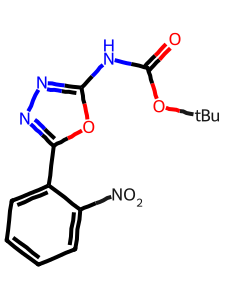 CC(C)(C)OC(=O)Nc1nnc(-c2ccccc2[N+](=O)[O-])o1